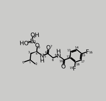 CC(C)C[C@H](NC(=O)CNC(=O)c1ccc(F)cc1F)OB(O)O